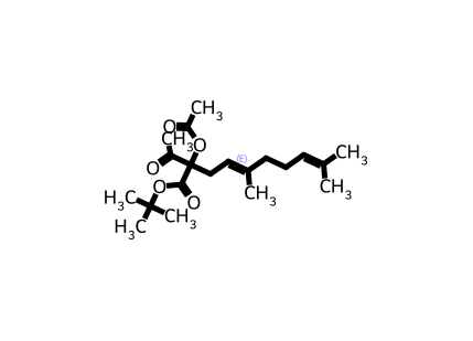 CC(=O)OC(C/C=C(\C)CCC=C(C)C)(C(C)=O)C(=O)OC(C)(C)C